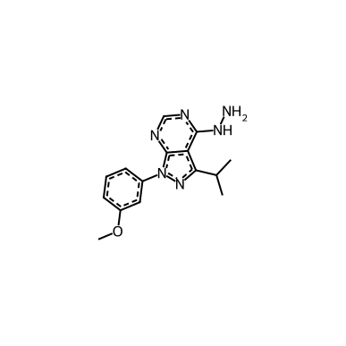 COc1cccc(-n2nc(C(C)C)c3c(NN)ncnc32)c1